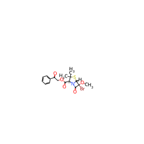 COC1(Br)C(=O)N2[C@@H](C(=O)OCC(=O)c3ccccc3)C(C)(C)S[C@@H]21